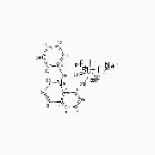 C1=Cc2ccccc2N(Cc2ccccc2)C1.[F][Sb-]([F])([F])([F])([F])[F].[Na+]